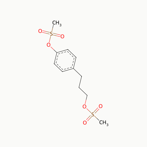 CS(=O)(=O)OCCCc1ccc(OS(C)(=O)=O)cc1